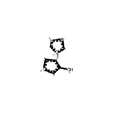 Oc1ccsc1.c1nnc[nH]1